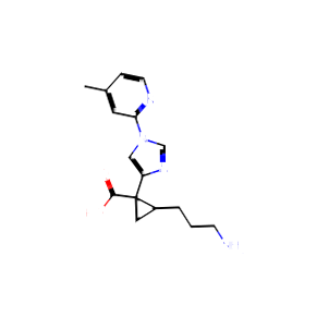 Cc1ccnc(-n2cnc(C3(C(=O)O)CC3CCCN)c2)c1